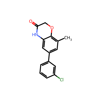 Cc1cc(-c2cccc(Cl)c2)cc2c1OCC(=O)N2